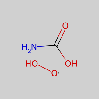 NC(=O)O.[O]O